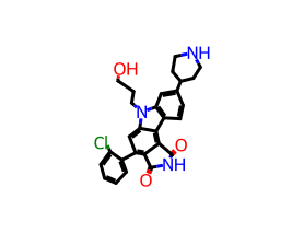 O=C1NC(=O)c2c1c(-c1ccccc1Cl)cc1c2c2ccc(C3CCNCC3)cc2n1CCCO